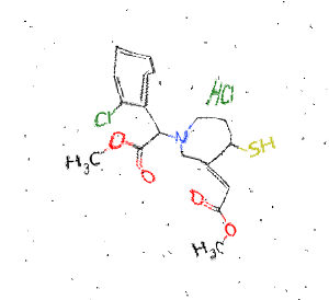 COC(=O)C=C1CN(C(C(=O)OC)c2ccccc2Cl)CCC1S.Cl